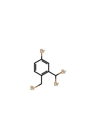 BrCc1ccc(Br)cc1C(Br)Br